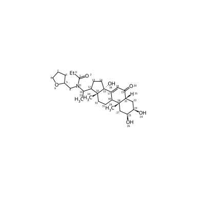 CCC(=O)N(CC1CCCO1)C(C)C1CC[C@@]2(O)C3=CC(=O)[C@@H]4C[C@@H](O)[C@@H](O)C[C@]4(C)C3CC[C@]12C